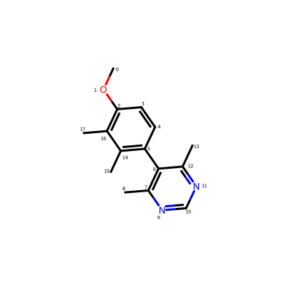 COc1ccc(-c2c(C)ncnc2C)c(C)c1C